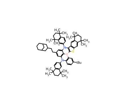 CC(C)(C)c1ccc2c(c1)B1c3sc4cc5c(cc4c3N(c3ccc4c(c3)C(C)(C)CCC4(C)C)c3cc(CCC4CC6CCCC(C6)C4)cc(c31)N2c1ccc2c(c1)C(C)(C)CCC2(C)C)C(C)(C)CCC5(C)C